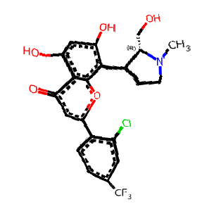 CN1CCC(c2c(O)cc(O)c3c(=O)cc(-c4ccc(C(F)(F)F)cc4Cl)oc23)[C@@H]1CO